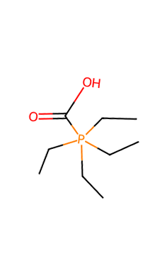 CCP(CC)(CC)(CC)C(=O)O